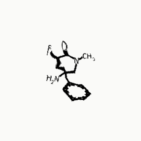 CN1CC(N)(c2ccccc2)CC(F)C1=O